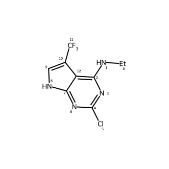 CCNc1nc(Cl)nc2[nH]cc(C(F)(F)F)c12